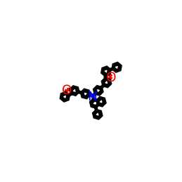 c1ccc(-c2ccc(N(c3ccc(-c4ccc5oc6ccccc6c5c4)cc3)c3ccc(-c4ccc5oc6c(-c7ccccc7)cccc6c5c4)cc3)c3ccccc23)cc1